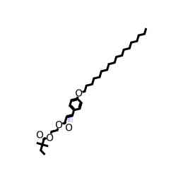 CCCCCCCCCCCCCCCCCCOc1ccc(/C=C/C(=O)OCCOC(=O)C(C)(C)CC)cc1